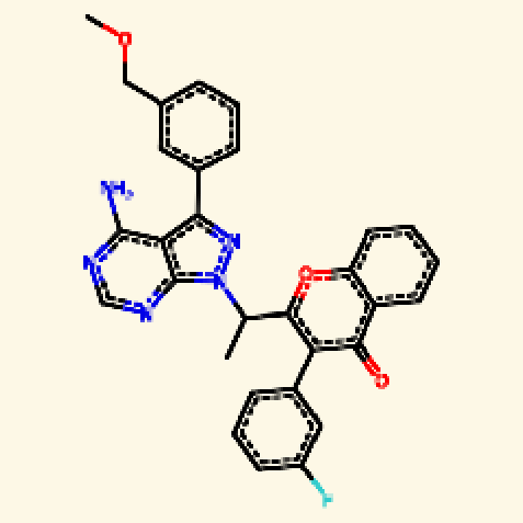 COCc1cccc(-c2nn(C(C)c3oc4ccccc4c(=O)c3-c3cccc(F)c3)c3ncnc(N)c23)c1